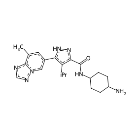 Cc1cc(-c2[nH]nc(C(=O)NC3CCC(N)CC3)c2C(C)C)cn2ncnc12